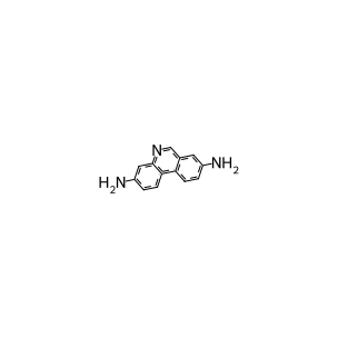 Nc1ccc2c(cnc3cc(N)ccc32)c1